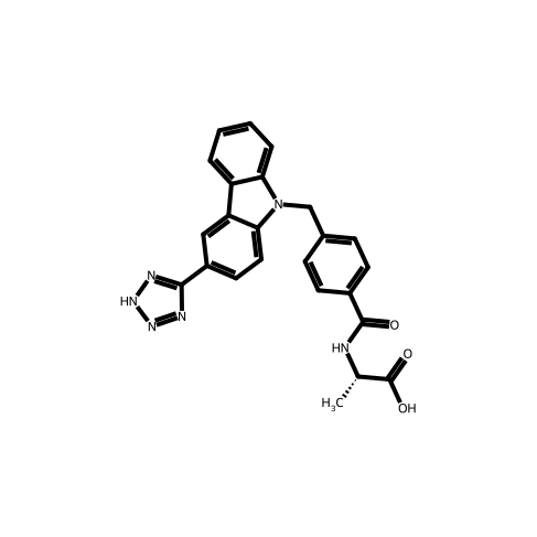 C[C@H](NC(=O)c1ccc(Cn2c3ccccc3c3cc(-c4nn[nH]n4)ccc32)cc1)C(=O)O